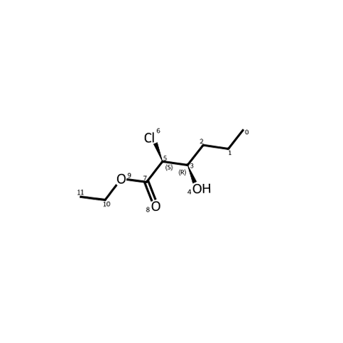 CCC[C@@H](O)[C@H](Cl)C(=O)OCC